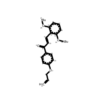 C=CCOc1ccc(C(=O)C=Cc2c(OC(C)(C)C)cccc2OC(C)(C)C)cc1